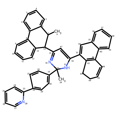 CC1c2ccccc2-c2ccccc2C1C1=NC(C)(c2ccc(-c3ccccn3)cc2)NC(c2cc3ccccc3c3c2CCC=C3)=C1